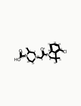 CC1CN(CC(=O)N2CC(C)(C)c3c(Cl)cccc32)CCN1C(=O)O